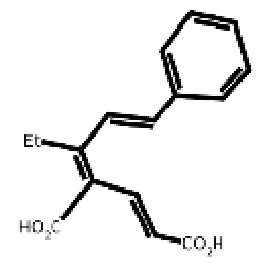 CCC(C=Cc1ccccc1)=C(C=CC(=O)O)C(=O)O